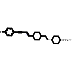 CCCCC[C@H]1CC[C@H](CCC2CCC(/C=C/C#Cc3ccc(F)cc3)CC2)CC1